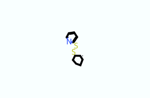 [CH]1CCCC[C@H]1SSc1ccccn1